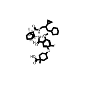 COc1cc(F)c(OC2CCC(C)(C(=O)O)CC2)cc1C(=O)N[C@@H]1[C@H]2CC[C@H](C2)[C@@H]1C(=O)NCC(CC1CCCCC1)C1CC1